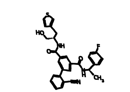 C[C@@H](NC(=O)c1cc(C(=O)N[C@H](CO)Cc2ccsc2)cc(-c2ccccc2C#N)c1)c1ccc(F)cc1